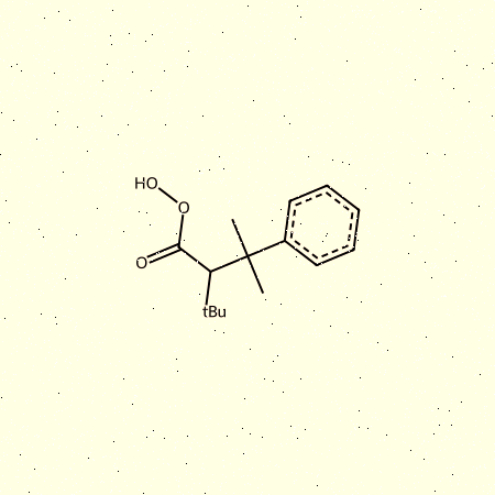 CC(C)(C)C(C(=O)OO)C(C)(C)c1ccccc1